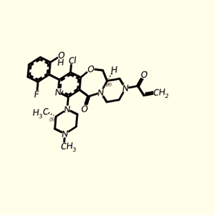 C=CC(=O)N1CCN2C(=O)c3c(N4CCN(C)C[C@@H]4C)nc(-c4c(O)cccc4F)c(Cl)c3OC[C@H]2C1